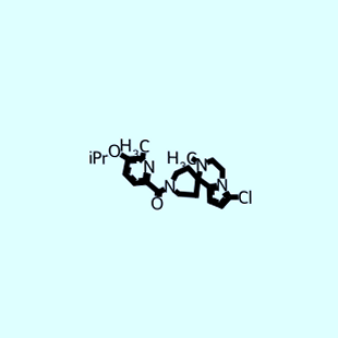 Cc1nc(C(=O)N2CCC3(CC2)c2ccc(Cl)n2CCN3C)ccc1OC(C)C